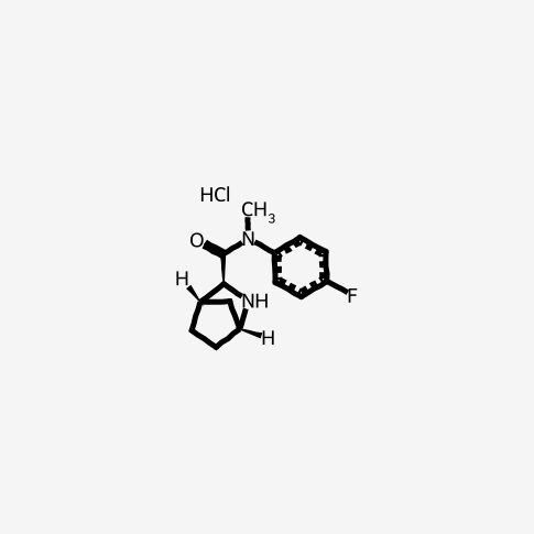 CN(C(=O)[C@H]1N[C@@H]2CC[C@H]1C2)c1ccc(F)cc1.Cl